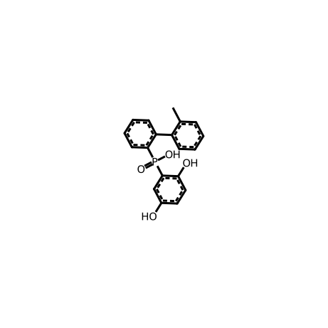 Cc1ccccc1-c1ccccc1P(=O)(O)c1cc(O)ccc1O